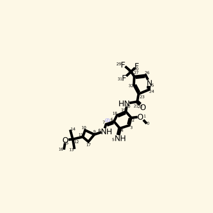 COC1=CC(=N)/C(=C\NC2CC(C(C)(C)OC)C2)C=C1NC(=O)c1cncc(C(F)(F)F)c1